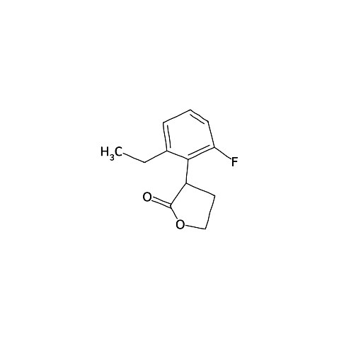 CCc1cccc(F)c1C1CCOC1=O